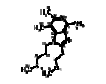 COCCc1nc2c(N)nc(C)c(C)c2n1CCCSC